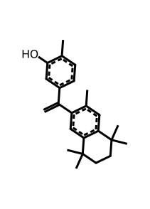 C=C(c1ccc(C)c(O)c1)c1cc2c(cc1C)C(C)(C)CCC2(C)C